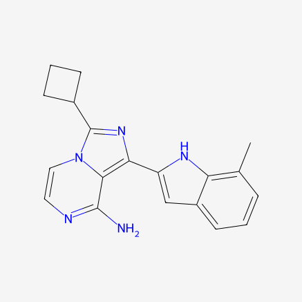 Cc1cccc2cc(-c3nc(C4CCC4)n4ccnc(N)c34)[nH]c12